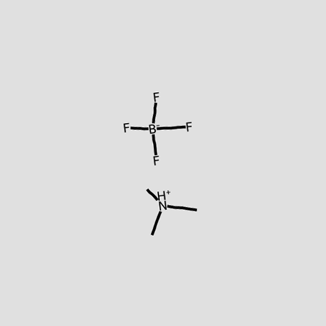 C[NH+](C)C.F[B-](F)(F)F